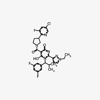 CCn1ccc(-c2nc(=O)c(C(=O)N3CCC(c4ncc(Cl)cc4F)C3)c(O)n2C(c2cc(F)cc(F)c2)C(C)C)n1